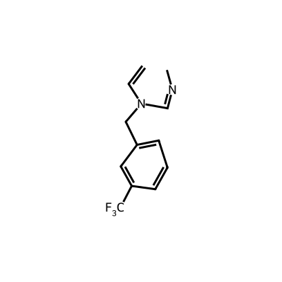 C=CN(/C=N\C)Cc1cccc(C(F)(F)F)c1